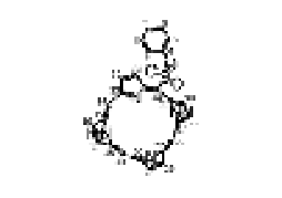 O=S(=O)(Oc1ccccc1)c1c2nc(cc3ccc(cc4nc(cc5ccc1[nH]5)C=C4)[nH]3)C=C2